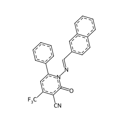 N#Cc1c(C(F)(F)F)cc(-c2ccccc2)n(/N=C/c2ccc3ccccc3c2)c1=O